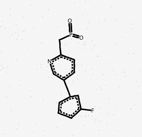 O=P(=O)Cc1ccc(-c2cccc(F)c2)cn1